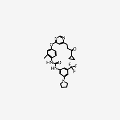 Cc1cc(Oc2cc(CCC(=O)C3CC3)ncn2)ccc1NC(=O)Nc1cc(N2CCCC2)cc(C(F)(F)F)c1